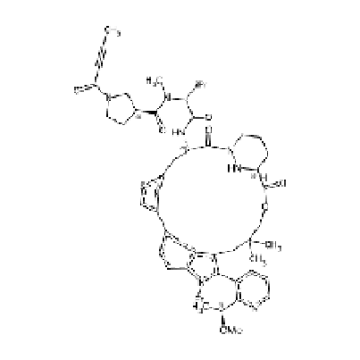 CC#CC(=O)N1CC[C@H](C(=O)N(C)C(C(=O)N[C@H]2Cc3nc(cs3)-c3ccc4c(c3)c(c(-c3cccnc3[C@H](C)OC)n4CC)CC(C)(C)COC(=O)[C@@H]3CCCN(N3)C2=O)C(C)C)C1